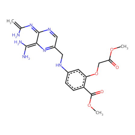 C=C(N)/N=C1/N=CC(CNc2ccc(C(=O)OC)c(OCC(=O)OC)c2)=NC1=C(N)N